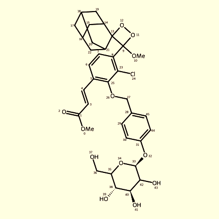 COC(=O)/C=C/c1ccc(C2(OC)OOC23C2CC4CC(C2)CC3C4)c(Cl)c1OCc1ccc(O[C@@H]2OC(CO)[C@@H](O)[C@H](O)C2O)cc1